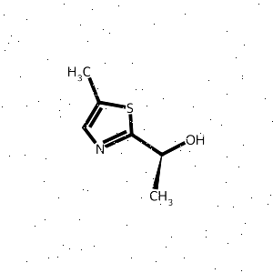 Cc1cnc([C@H](C)O)s1